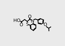 CC(C)COc1ccc(CN2C(=O)C(CC(=O)O)Sc3ccccc32)cc1